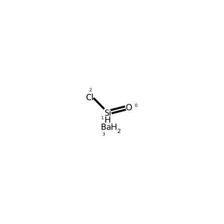 O=[SiH]Cl.[BaH2]